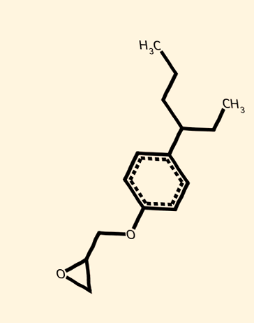 CCCC(CC)c1ccc(OCC2CO2)cc1